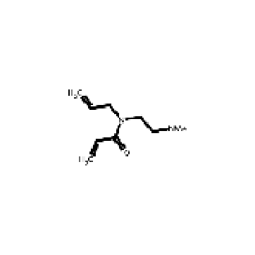 C=CCN(CCNC)C(=O)C=C